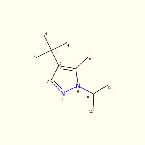 Cc1c(C(C)(C)C)cnn1C(C)C